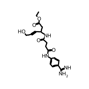 CCOC(=O)CC(C#CCO)NC(=O)CCC(=O)Nc1ccc(C(=N)N)cc1